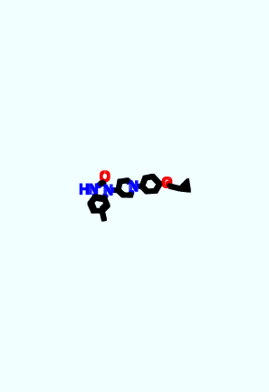 Cc1ccc2[nH]c(=O)n(C3CCN(C4CCC(OCC5CC5)CC4)CC3)c2c1